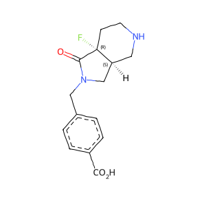 O=C(O)c1ccc(CN2C[C@@H]3CNCC[C@]3(F)C2=O)cc1